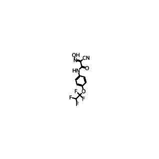 N#CC(=NO)C(=O)Nc1ccc(OC(F)(F)C(F)F)cc1